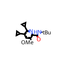 COc1cc(C2CC2)c(C2CC2)nc1C(=O)NC(C)(C)C